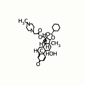 CN1CCN(CC(=O)OCC(=O)[C@@]23O[C@H](C4CCCCC4)O[C@@H]2C[C@H]2[C@@H]4CCC5=CC(=O)C=C[C@]5(C)[C@H]4[C@@H](O)C[C@@]23C)CC1